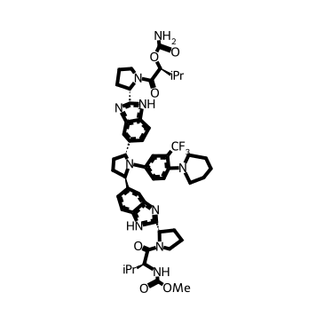 COC(=O)N[C@H](C(=O)N1CCC[C@H]1c1nc2cc([C@H]3CC[C@H](c4ccc5[nH]c([C@@H]6CCCN6C(=O)[C@@H](OC(N)=O)C(C)C)nc5c4)N3c3ccc(N4CCCCC4)c(C(F)(F)F)c3)ccc2[nH]1)C(C)C